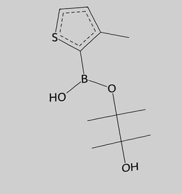 Cc1ccsc1B(O)OC(C)(C)C(C)(C)O